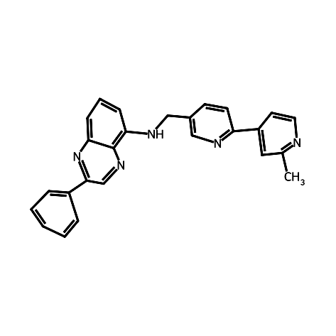 Cc1cc(-c2ccc(CNc3cccc4nc(-c5ccccc5)cnc34)cn2)ccn1